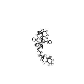 CC(C)CC(C(=O)c1nnc(SCCN2CCc3ccccc3C2)o1)N(C=O)C1CCCCC1